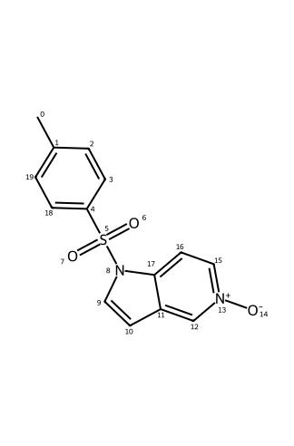 Cc1ccc(S(=O)(=O)n2ccc3c[n+]([O-])ccc32)cc1